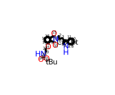 CCOC(=O)C(C)(Cc1c[nH]c2ccccc12)N1C(=O)c2cccc(OCCNC(=O)OC(C)(C)C)c2C1=O